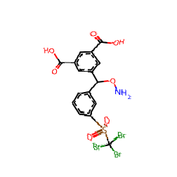 NOC(c1cc(C(=O)O)cc(C(=O)O)c1)c1cccc(S(=O)(=O)C(Br)(Br)Br)c1